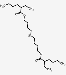 CCCCC(CC)C(=O)OCCC[CH2][Sn][CH2]CCCOC(=O)C(CC)CCCC